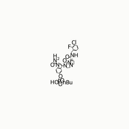 CCCCOP(=O)(O)COc1ccc2c(c1)c(N1CCN3CC[C@@H](C(=O)NCc4cccc(Cl)c4F)N3C1=O)cn2C(N)=O